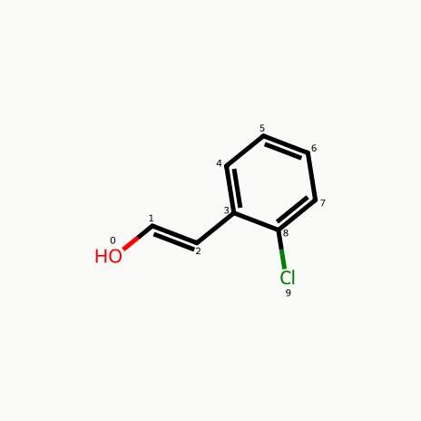 OC=Cc1ccccc1Cl